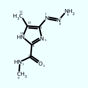 CNC(=O)c1nc(N=NN)c(C)[nH]1